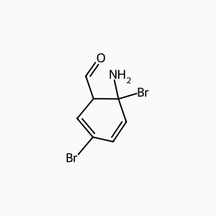 NC1(Br)C=CC(Br)=CC1C=O